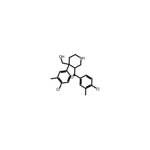 Cc1cc(C(=O)C2CNCCC2(CO)c2ccc(Cl)c(C)c2)ccc1Cl